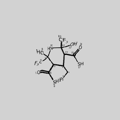 CC(C)CC1C(C(=O)S)C(O)(C(F)(F)F)NC(O)(C(F)(F)F)C1C(=O)S